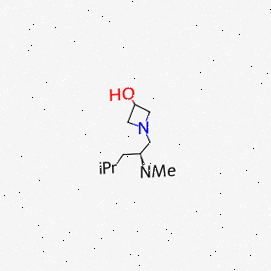 CN[C@@H](CC(C)C)CN1CC(O)C1